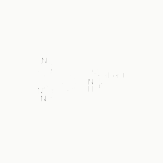 CCCC(C)S(=O)(=O)NCc1ccc(-c2cn(C)nc2-c2ccncc2)cc1